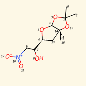 CC1(C)OC2O[C@H](C(O)C[N+](=O)[O-])C[C@H]2O1